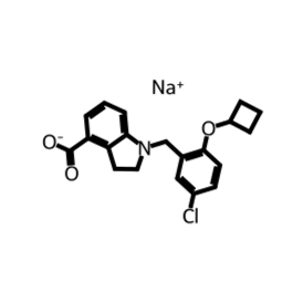 O=C([O-])c1cccc2c1CCN2Cc1cc(Cl)ccc1OC1CCC1.[Na+]